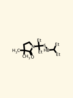 CCC(BSC(CC)(CC)N1CCC(C)(C)C1=O)CC